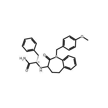 COc1ccc(CN2C(=O)C(N[C@@H](Cc3ccccc3)C(N)=O)CCc3ccccc32)cc1